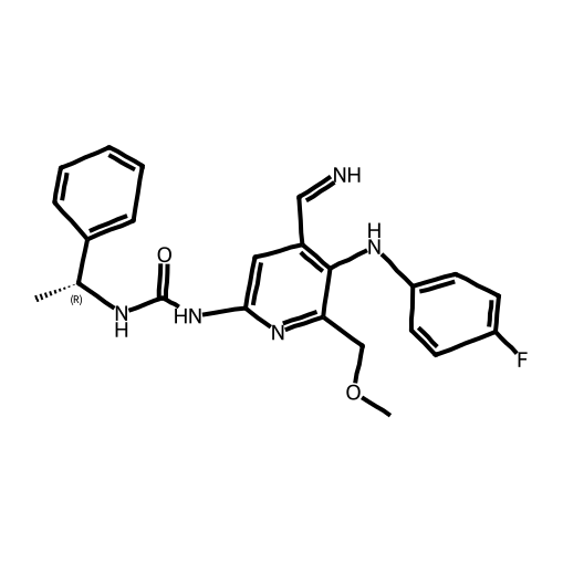 COCc1nc(NC(=O)N[C@H](C)c2ccccc2)cc(C=N)c1Nc1ccc(F)cc1